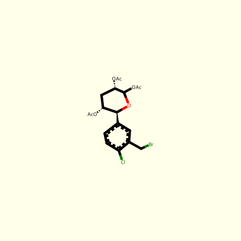 CC(=O)OC1O[C@@H](c2ccc(Cl)c(CBr)c2)[C@H](OC(C)=O)C[C@@H]1OC(C)=O